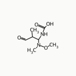 CON(C)C(NC(=O)O)C(C)C=O